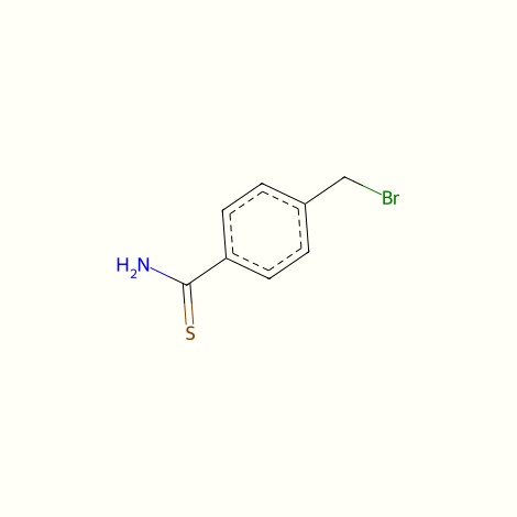 NC(=S)c1ccc(CBr)cc1